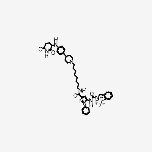 O=C1CCC(Nc2ccc(C3CCN(CCCCCCCCNC(=O)c4cc(NC(=O)NCc5ccccc5C(F)(F)F)n(-c5ccccc5)n4)CC3)cc2)C(=O)N1